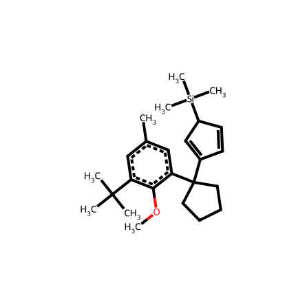 COc1c(C(C)(C)C)cc(C)cc1C1(C2=CC([Si](C)(C)C)C=C2)CCCC1